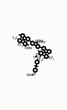 CCCCCCC1(CCCCCC)c2cc(-c3ccc4c(c3)C3(c5cc(C)ccc5-4)c4cc(C)c(OC)cc4-c4c(C(F)(F)F)cc(C(F)(F)F)cc43)ccc2-c2ccc(-c3ccc4c(c3)C3(c5ccccc5-4)c4cc(C(F)(F)F)cc(C(F)(F)F)c4-c4c3cc(C)c(OC(=O)Oc3ccc(C(C)(C)c5ccc(OC=O)cc5)cc3)c4C)cc21